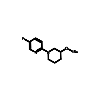 CC(C)(C)OC1CCCN(c2ccc(F)cn2)C1